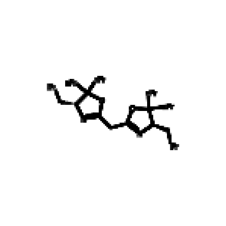 CCCC1(CCC)OC(CC2=N[C@H](CC(C)C)C(CCC)(CCC)O2)=N[C@@H]1CC(C)C